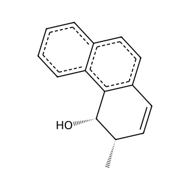 C[C@H]1C=Cc2ccc3ccccc3c2[C@H]1O